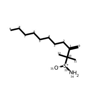 C=C(CCCCCCCC)C(C)(C)[S+](N)[O-]